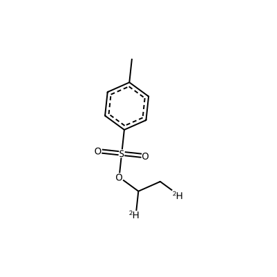 [2H]CC([2H])OS(=O)(=O)c1ccc(C)cc1